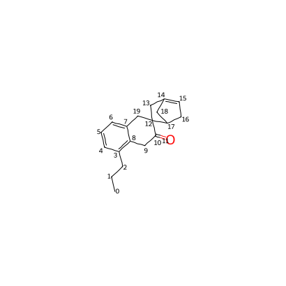 CCCc1cccc2c1CC(=O)C1(CC3=CCC1C3)C2